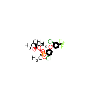 CCP(=O)(OCOC(=O)C(C)(C)C)c1cc(Oc2ccc(C(F)(F)F)cc2Cl)ccc1Cl